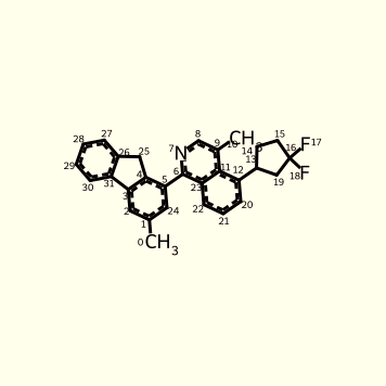 Cc1cc2c(c(-c3ncc(C)c4c(C5CCC(F)(F)C5)cccc34)c1)Cc1ccccc1-2